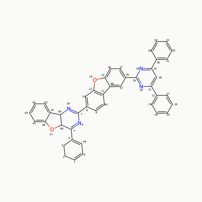 C1=CCCC(C2=NC(c3ccc4c(c3)oc3ccc(-c5nc(-c6ccccc6)cc(-c6ccccc6)n5)cc34)=NC3c4ccccc4OC23)=C1